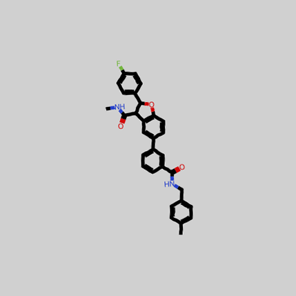 CNC(=O)C1c2cc(-c3cccc(C(=O)NCc4ccc(C)cc4)c3)ccc2OC1c1ccc(F)cc1